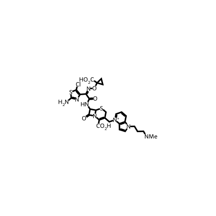 CNCCCn1ccc2c1ccc[n+]2CC1=C(C(=O)O)N2C(=O)C(NC(=O)/C(=N\OC3(C(=O)O)CC3)c3nc(N)sc3Cl)C2SC1